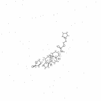 CN(C(=O)OCCN1CCCC1)[C@H]1CC[C@@]2(C)[C@H](CC[C@H]3C4=CC[C@H](C5=CC(=O)OC5)[C@@]4(C)CC[C@@H]32)C1